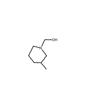 CC1CCCN(CO)C1